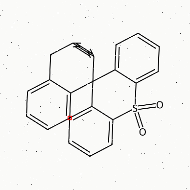 O=S1(=O)c2ccccc2C2(c3ccccc3Cc3ccccc32)c2ccccc21